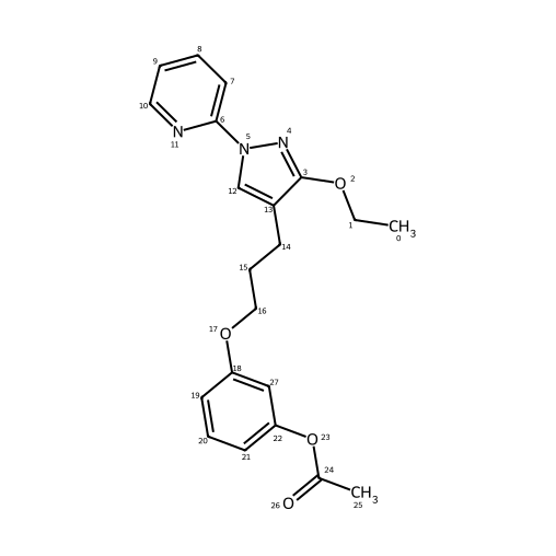 CCOc1nn(-c2ccccn2)cc1CCCOc1cccc(OC(C)=O)c1